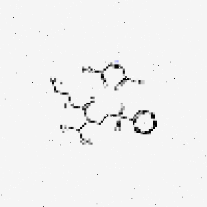 CC(C)N(CCS(=O)(=O)c1ccccc1)C(=O)NCCN.O=C(O)/C=C\C(=O)O